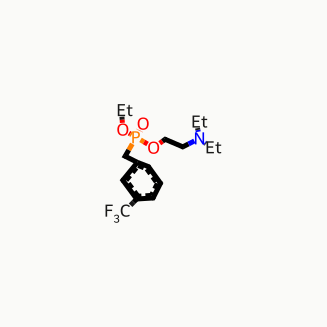 CCOP(=O)(Cc1cccc(C(F)(F)F)c1)OCCN(CC)CC